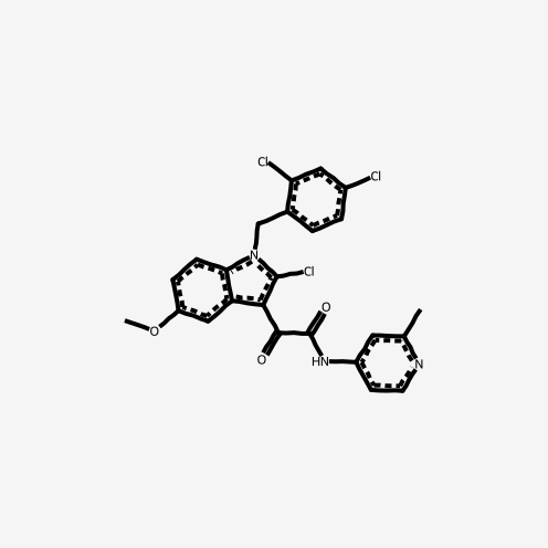 COc1ccc2c(c1)c(C(=O)C(=O)Nc1ccnc(C)c1)c(Cl)n2Cc1ccc(Cl)cc1Cl